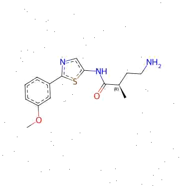 COc1cccc(-c2ncc(NC(=O)[C@H](C)CCN)s2)c1